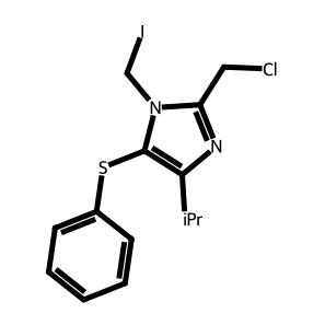 CC(C)c1nc(CCl)n(CI)c1Sc1ccccc1